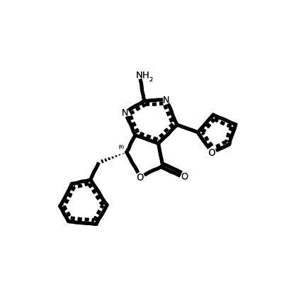 Nc1nc(-c2ccco2)c2c(n1)[C@@H](Cc1ccccc1)OC2=O